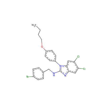 CCCCOc1ccc(-n2c(NCc3ccc(Br)cc3)nc3cc(Cl)c(Cl)cc32)cc1